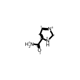 NC(=O)C1=CC=NCN1